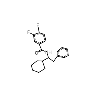 O=C(NC(Cc1ccccc1)C1CCCCC1)c1ccc(F)c(F)c1